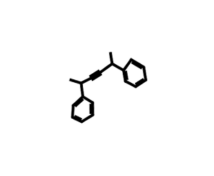 CC(C#CC(C)c1ccccc1)c1ccccc1